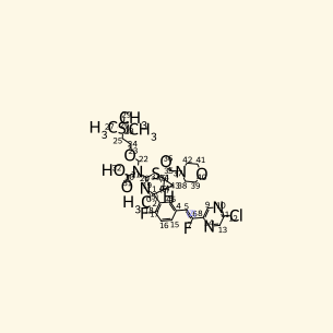 C[C@]1(c2cc(/C=C(\F)c3cnc(Cl)cn3)ccc2F)N=C(N(COCC[Si](C)(C)C)C(=O)O)S[C@@]2(C(=O)N3CCOCC3)C[C@H]21